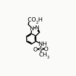 CS(=O)(=O)Nc1cccc2c1cnn2CC(=O)O